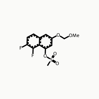 COCOc1cc(OS(C)(=O)=O)c2c(F)c(F)ccc2c1